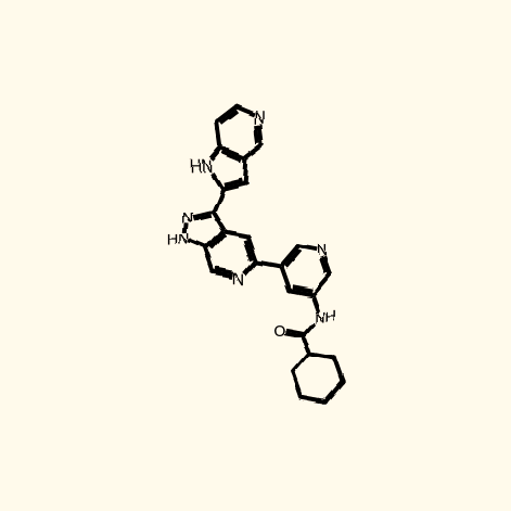 O=C(Nc1cncc(-c2cc3c(-c4cc5cnccc5[nH]4)n[nH]c3cn2)c1)C1CCCCC1